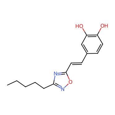 CCCCCc1noc(C=Cc2ccc(O)c(O)c2)n1